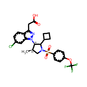 C[C@@H]1CN(S(=O)(=O)c2ccc(OC(F)(F)F)cc2)C(C2CCC2)[C@@H]1n1nc(CC(=O)O)c2ccc(Cl)cc21